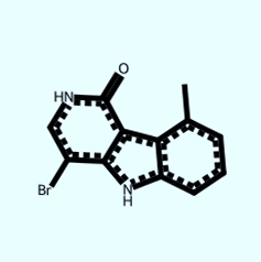 Cc1cccc2[nH]c3c(Br)c[nH]c(=O)c3c12